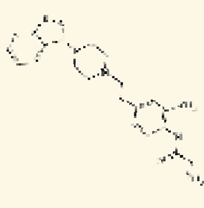 C=CC(=O)Nc1ccc(CCN2CCN(c3nsc4ccccc34)CC2)cc1C